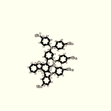 CC(C)(C)c1ccc(N2B3c4cc(C(C)(C)C)ccc4-n4c5ccc(C(C)(C)C)cc5c5c6c(oc7ccccc76)c(c3c54)-c3ccc(N(c4ccc(C(C)(C)C)cc4)c4ccc(C(C)(C)C)cc4)cc32)cc1